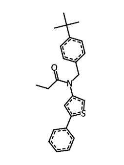 CCC(=O)N(Cc1ccc(C(C)(C)C)cc1)c1csc(-c2ccccc2)c1